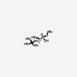 CCCCC(N)(CCCC)CCCC.CCCCOP(=O)(O)OCCCC